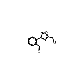 O=Cc1ccccc1-c1noc(CCl)n1